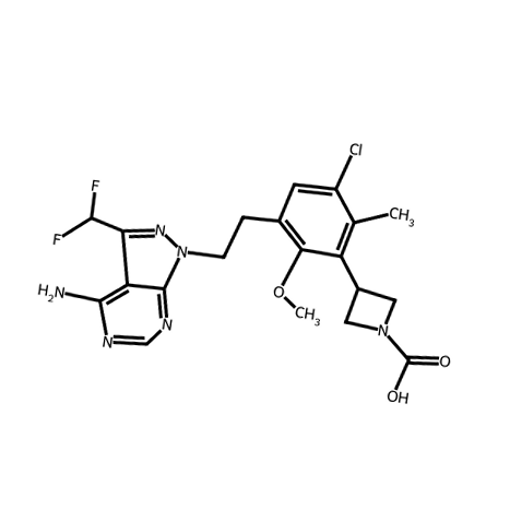 COc1c(CCn2nc(C(F)F)c3c(N)ncnc32)cc(Cl)c(C)c1C1CN(C(=O)O)C1